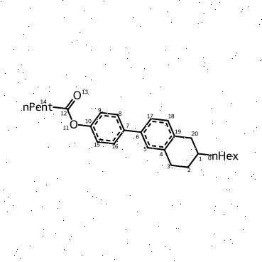 CCCCCCC1CCc2cc(-c3ccc(OC(=O)CCCCC)cc3)ccc2C1